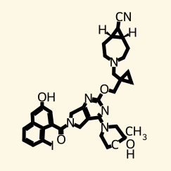 C[C@@]1(O)CCCN(c2nc(OCC3(CN4CC[C@@H]5C(C#N)[C@@H]5CC4)CC3)nc3c2CN(C(=O)c2cc(O)cc4cccc(I)c24)C3)C1